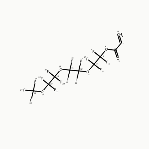 C=CC(=O)OC(F)(F)C(F)(F)OC(F)(F)C(F)(F)OC(F)(F)C(F)(F)OC(F)(F)F